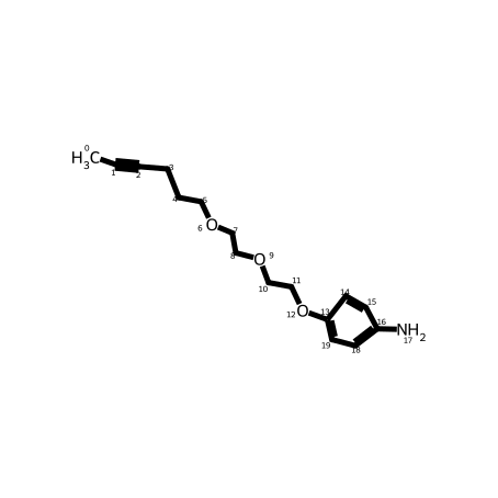 CC#CCCCOCCOCCOc1ccc(N)cc1